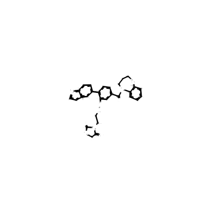 C[C@H]1CCN(C(=O)c2ccc(-c3ccc4[nH]ccc4c3)c(OCCCN3C(=O)CNC3=O)c2)c2ccccc2N1